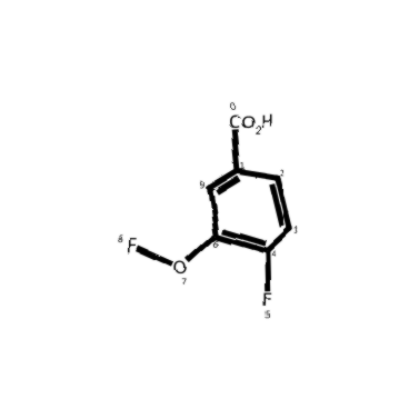 O=C(O)c1ccc(F)c(OF)c1